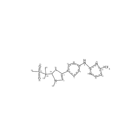 CN1C=C(c2ccc(Nc3nccc(C(F)(F)F)n3)cc2)SC1C(C)(C)S(C)(=O)=O